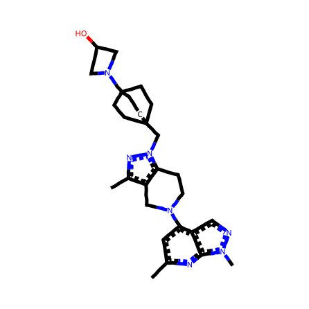 Cc1cc(N2CCc3c(c(C)nn3CC34CCC(N5CC(O)C5)(CC3)CC4)C2)c2cnn(C)c2n1